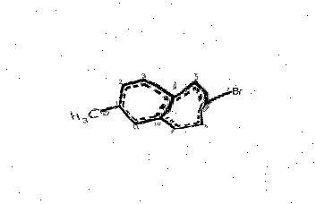 Cc1ccc2cc(Br)ccc2c1